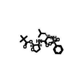 CC(C)C[C@H](NS(=O)(=O)c1ccccc1)C(=O)N[C@H]1CCO[C@H]1OC(=O)C(C)(C)C